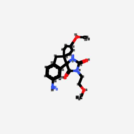 COCCN1C(=O)NC2(C1=O)c1cc(N)ccc1CC21CCC(OC)CC1